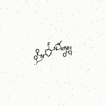 [CH2]C1CN(c2ccc(N3C[C@@H](C)[C@@H](NC(=O)OC)C3)c(F)c2)C(=O)O1